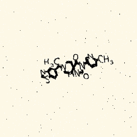 Cc1ccc(N2C(=O)NC3(CCN([C@@H](C)c4ccc5scnc5c4)CC3)C2=O)cn1